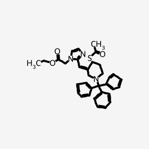 CCOC(=O)Cn1ccnc1C=C1CN(C(c2ccccc2)(c2ccccc2)c2ccccc2)CCC1SC(C)=O